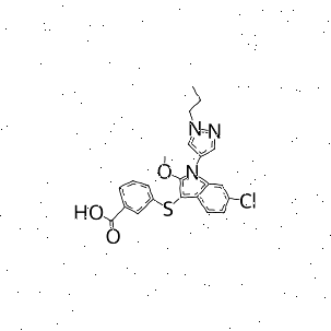 CCCn1cc(-n2c(OC)c(Sc3cccc(C(=O)O)c3)c3ccc(Cl)cc32)cn1